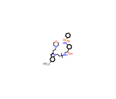 CC(C)(CCn1c(CCN2CCOCC2)cc2cc(C(=O)O)ccc21)NC[C@H](O)c1cccc(NS(=O)(=O)c2ccccc2)c1